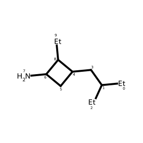 CCC(CC)CC1CC(N)C1CC